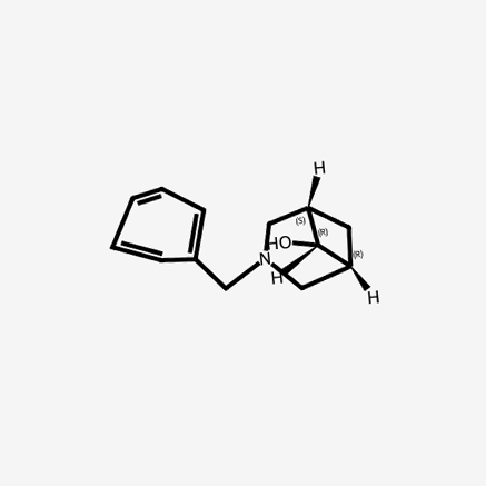 O[C@H]1[C@@H]2C[C@H]1CN(Cc1ccccc1)C2